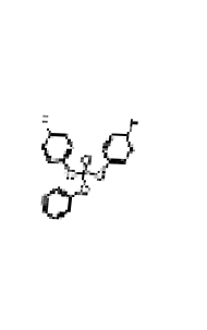 O=P(OC1=CCC(F)C=C1)(OC1=CC[C@H](F)C=C1)Oc1ccccc1